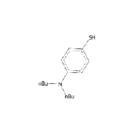 CCCCN(CCCC)c1ccc(S)cc1